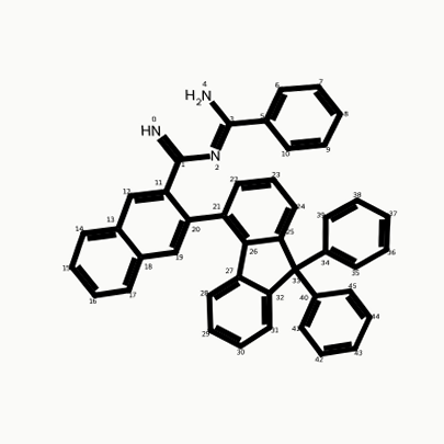 N=C(/N=C(\N)c1ccccc1)c1cc2ccccc2cc1-c1cccc2c1-c1ccccc1C2(c1ccccc1)c1ccccc1